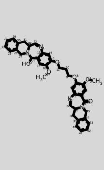 COc1cc2c(cc1OCCCOc1cc3c(cc1OC)C(O)N1Cc4ccccc4CC1C=N3)N=CC1Cc3ccccc3CN1C2=O